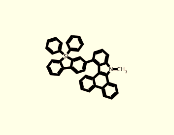 Cn1c2cccc(-c3ccc4c(c3)[Si](c3ccccc3)(c3ccccc3)c3ccccc3-4)c2c2c3ccccc3c3ccccc3c21